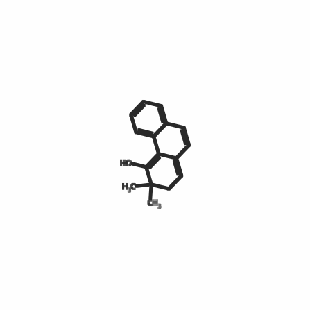 CC1(C)CC=c2ccc3ccccc3c2=C1O